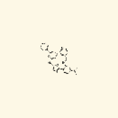 CN(C)c1ccc(-c2nnc(NC3=COC=C(C4=CC=CCC4)O3)o2)c(NCc2ccncc2)c1